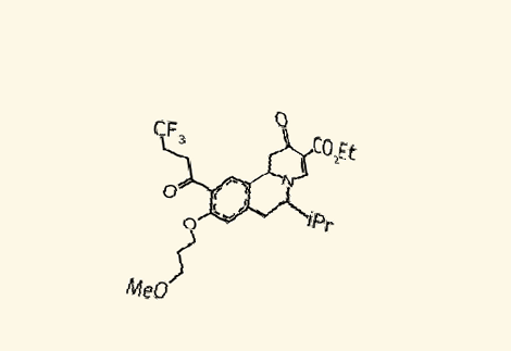 CCOC(=O)C1=CN2C(CC1=O)c1cc(C(=O)CCC(F)(F)F)c(OCCCOC)cc1CC2C(C)C